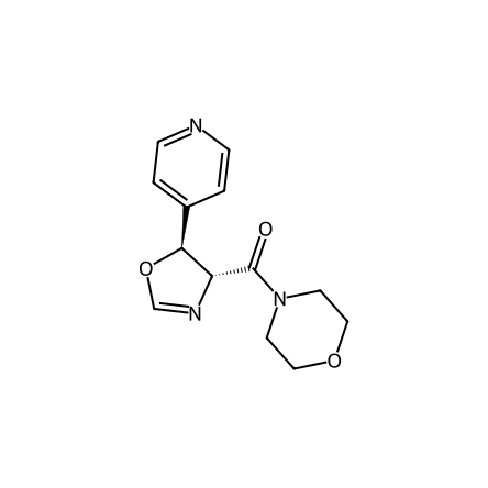 O=C([C@@H]1N=CO[C@H]1c1ccncc1)N1CCOCC1